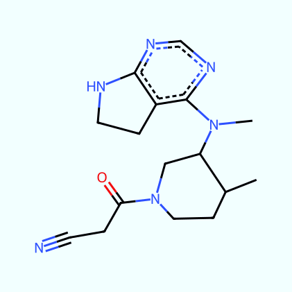 CC1CCN(C(=O)CC#N)CC1N(C)c1ncnc2c1CCN2